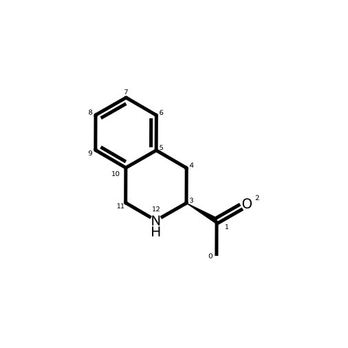 CC(=O)[C@@H]1Cc2ccccc2CN1